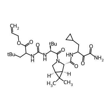 C=CCOC(=O)C(CC(C)(C)C)NC(=O)N[C@H](C(=O)N1C[C@H]2[C@@H]([C@H]1C(=O)NC(CC1CC1)C(=O)C(N)=O)C2(C)C)C(C)(C)C